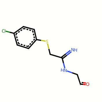 N=C(CSc1ccc(Cl)cc1)NC[C]=O